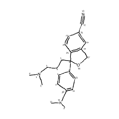 CN(C)CCCC1(c2ccc(N(C)C)cc2)OCc2cc(C#N)ccc21